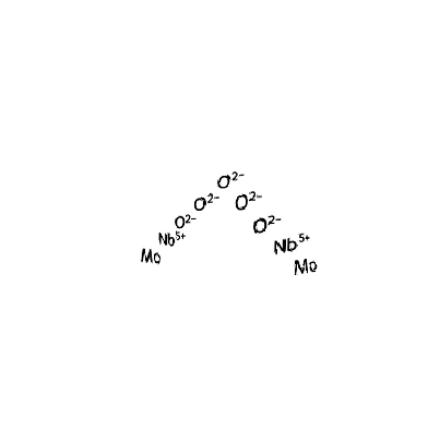 [Mo].[Mo].[Nb+5].[Nb+5].[O-2].[O-2].[O-2].[O-2].[O-2]